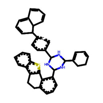 C1=CCCC(C2NC(c3ccc(C4C=CC=C5C=CC=CC54)cc3)NC(c3cccc4c3-c3sc5ccccc5c3CC4)N2)=C1